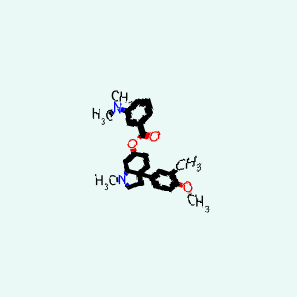 COc1ccc(C23CCC(OC(=O)c4cccc(N(C)C)c4)=CC2N(C)CC3)cc1C